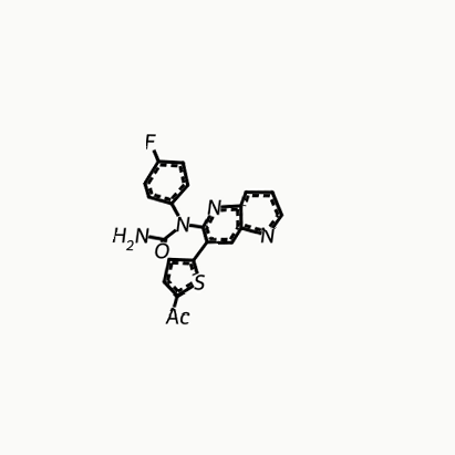 CC(=O)c1ccc(-c2cc3ncccc3nc2N(C(N)=O)c2ccc(F)cc2)s1